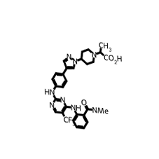 CNC(=O)c1ccccc1Nc1nc(Nc2ccc(-c3cnn(C4CCN(C(C)C(=O)O)CC4)c3)cc2)ncc1C(F)(F)F